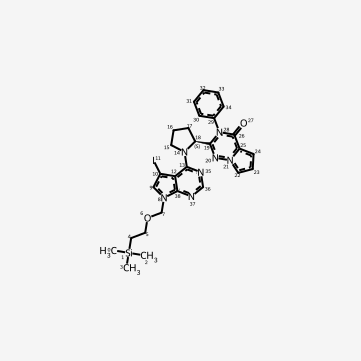 C[Si](C)(C)CCOCn1cc(I)c2c(N3CCC[C@H]3c3nn4cccc4c(=O)n3-c3ccccc3)ncnc21